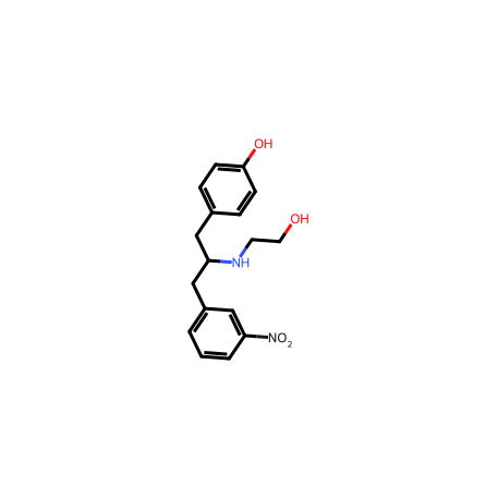 O=[N+]([O-])c1cccc(CC(Cc2ccc(O)cc2)NCCO)c1